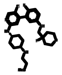 COCCN[C@H]1CC[C@H](Nc2cc(-c3cc(NCC4(F)CCOCC4)ccc3F)c(Cl)cn2)CC1